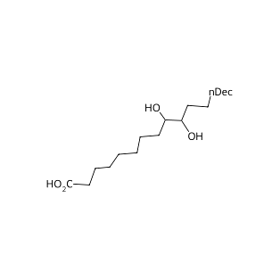 CCCCCCCCCCCCC(O)C(O)CCCCCCCC(=O)O